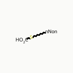 CCCCCCCCCCCCCCCCCCSC=CC(=O)O